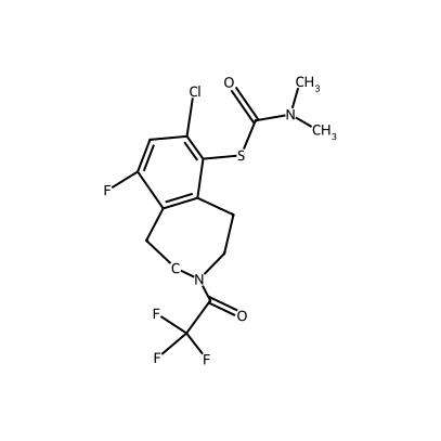 CN(C)C(=O)Sc1c(Cl)cc(F)c2c1CCN(C(=O)C(F)(F)F)CC2